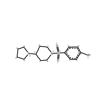 CC(C)c1ccc(S(=O)(=O)N2CCC(N3CCCC3)CC2)cc1